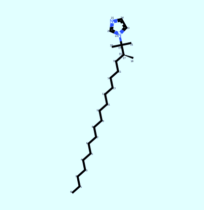 CCCCCCCCCCCCCCCCC[C@H](C)C(C)(C)n1ccnc1